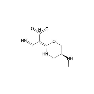 CN[C@H]1CN/C(=C(\C=N)[SH](=O)=O)OC1